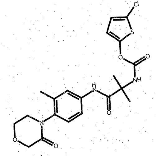 Cc1cc(NC(=O)C(C)(C)NC(=O)Oc2ccc(Cl)s2)ccc1N1CCOCC1=O